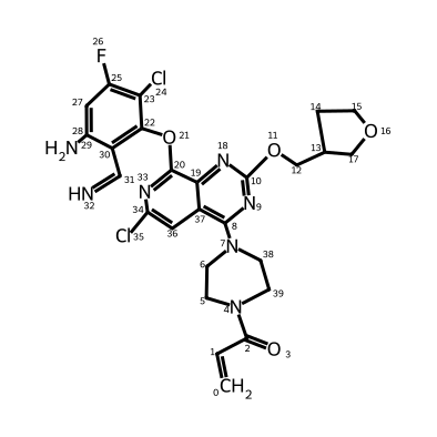 C=CC(=O)N1CCN(c2nc(OCC3CCOC3)nc3c(Oc4c(Cl)c(F)cc(N)c4C=N)nc(Cl)cc23)CC1